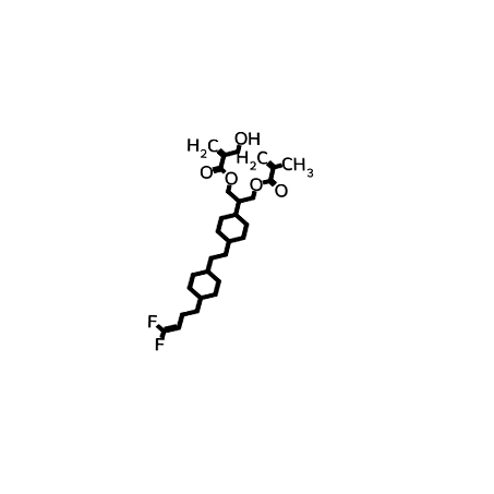 C=C(C)C(=O)OCC(COC(=O)C(=C)CO)C1CCC(CCC2CCC(CCC=C(F)F)CC2)CC1